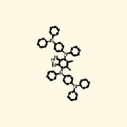 Cc1c(C)c(N(c2ccccc2)c2ccc(N(c3ccccc3)c3ccccc3)cc2)c2nsnc2c1N(c1ccccc1)c1ccc(N(c2ccccc2)c2ccccc2)cc1